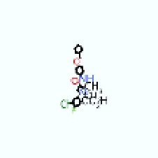 Cc1c(C(=O)Nc2ccc(OCc3ccccc3)cc2)cc(-c2cc(Cl)c(F)cc2C(=O)O)n1C